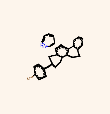 Brc1ccc(C2CCc3c(ccc4c3CCc3ccccc3-4)C2)cc1.C1=CC=CNC=C1